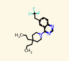 CCCC1(CCC)CCN(c2ncnc3ccc(CC(F)(F)F)cc23)CC1